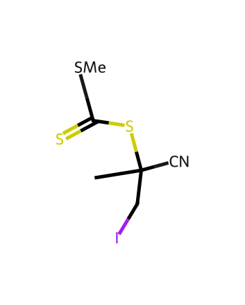 CSC(=S)SC(C)(C#N)CI